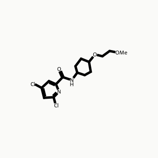 COCCOC1CCC(NC(=O)c2cc(Cl)cc(Cl)n2)CC1